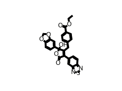 CCOC(=O)c1ccc(CC2=C(c3ccc4nsnc4c3)C(=O)OC2(O)c2ccc3c(c2)OCO3)cc1